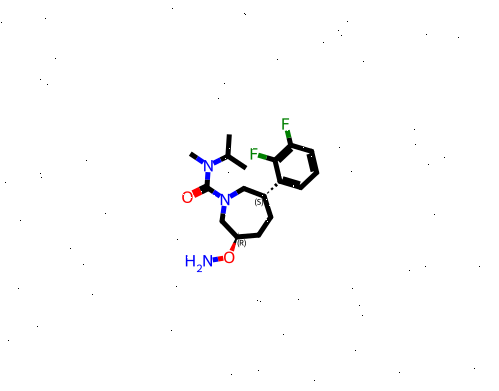 CC(C)N(C)C(=O)N1C[C@H](ON)CC[C@@H](c2cccc(F)c2F)C1